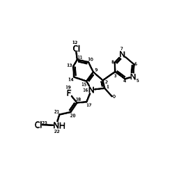 Cc1c(-c2cncnc2)c2cc(Cl)ccc2n1C/C(F)=C/CNCl